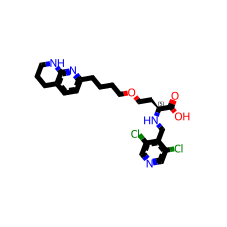 O=C(O)[C@H](CCOCCCCc1ccc2c(n1)NCCC2)NCc1c(Cl)cncc1Cl